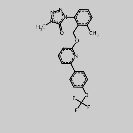 Cc1cccc(-n2nnn(C)c2=O)c1COc1cccc(-c2ccc(OC(F)(F)F)cc2)n1